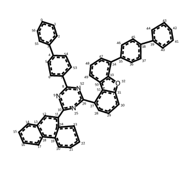 c1ccc(-c2ccc(-c3nc(-c4cc5ccccc5c5ccccc45)nc(-c4cccc5oc6c(-c7ccc(-c8ccccc8)cc7)cccc6c45)n3)cc2)cc1